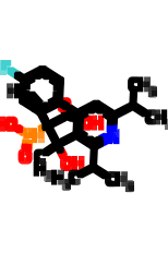 C#CC(C(=O)O)([PH](=O)O)C(C)(O)c1c(-c2ccc(F)cc2)cc(C(C)C)nc1C(C)C